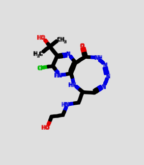 CC(C)(O)C1=NC2=C(NC(CNCCO)C=NN=NNC2=O)NC1Cl